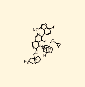 N#Cc1csc2c(F)ccc(-c3ncc4c(c3F)N(N3C[C@@H]5CC[C@](COC6CC6)(C3)N5)C(OC[C@@]35CCCN3C[C@H](F)C5)N=C4)c12